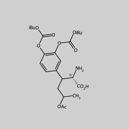 CC(=O)OC(C)CC(c1ccc(OC(=O)OCC(C)C)c(OC(=O)OCC(C)C)c1)[C@H](N)C(=O)O